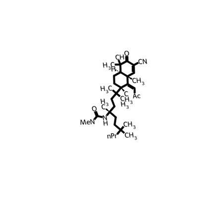 CCCC(C)(C)CC[C@@](C)(CCC(C)(C)[C@]1(C)CC[C@H]2C(C)(C)C(=O)C(C#N)=C[C@]2(C)/C1=C/C(C)=O)NC(=O)NC